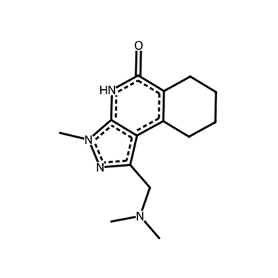 CN(C)Cc1nn(C)c2[nH]c(=O)c3c(c12)CCCC3